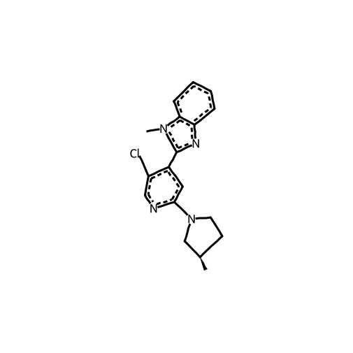 C[C@@H]1CCN(c2cc(-c3nc4ccccc4n3C)c(Cl)cn2)C1